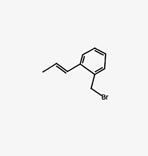 CC=Cc1ccccc1CBr